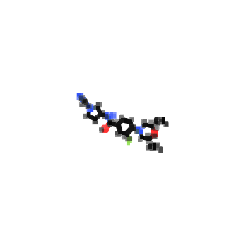 C[C@@H]1CN(c2ccc(C(=O)NC3CCN(C#N)C3)cc2F)C[C@H](C)O1